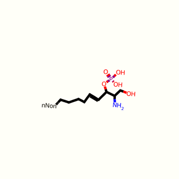 CCCCCCCCCCCCCC=CC(OP(=O)(O)O)C(N)CO